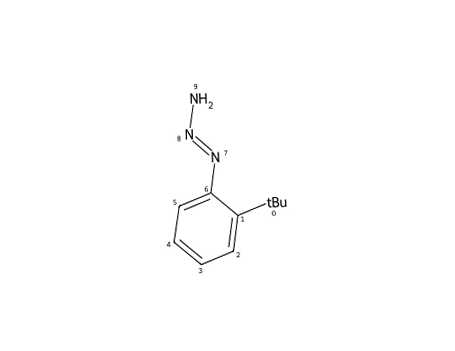 CC(C)(C)c1ccccc1N=NN